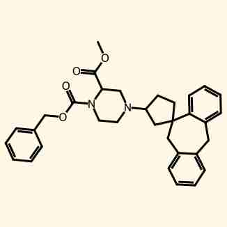 COC(=O)C1CN(C2CCC3(Cc4ccccc4Cc4ccccc43)C2)CCN1C(=O)OCc1ccccc1